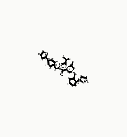 CC(C)C(=O)N1C(C)CN(Cc2ccccc2-n2ccnn2)CC1C(=O)NCc1ccc(-c2ccco2)cc1